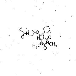 Cn1c(=O)c2c(nc(OC3CCN(C(=O)C4CC4)CC3)n2C2CCCCC2)n(C)c1=O